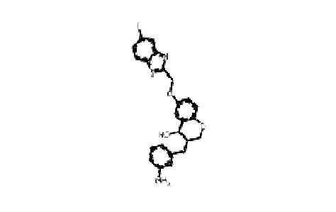 Nc1cccc(CC2COc3ccc(OCc4nc5cc(F)ccc5s4)cc3C2O)c1